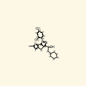 Cc1cc2c(s1)-c1c(c(C(O)CC3CCCCC3)nn1-c1ccc(Cl)cc1Cl)C2